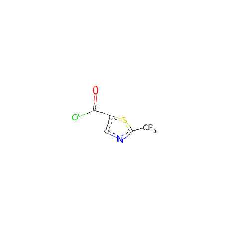 O=C(Cl)c1cnc(C(F)(F)F)s1